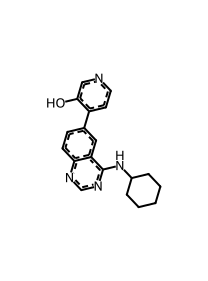 Oc1cnccc1-c1ccc2ncnc(NC3CCCCC3)c2c1